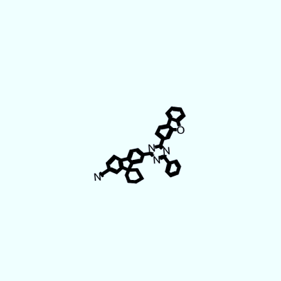 N#Cc1ccc2c(c1)C1(CCCCC1)c1cc(-c3nc(-c4ccccc4)nc(-c4ccc5c(c4)oc4ccccc45)n3)ccc1-2